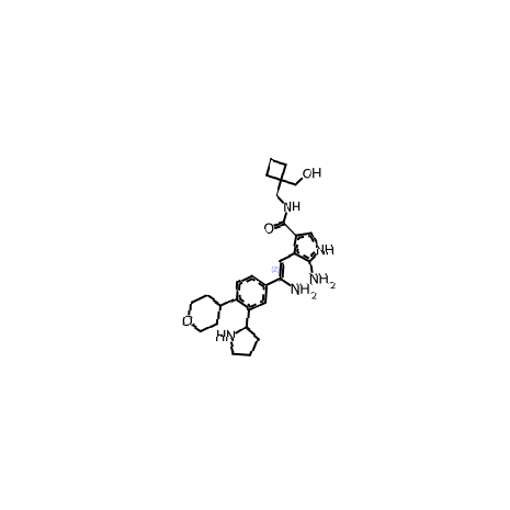 N/C(=C\c1c(C(=O)NCC2(CO)CCC2)c[nH]c1N)c1ccc(C2CCOCC2)c(C2CCCN2)c1